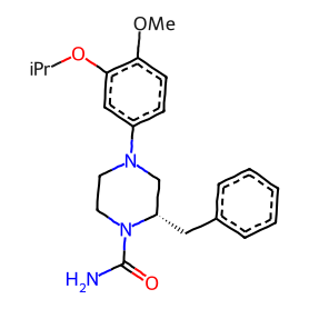 COc1ccc(N2CCN(C(N)=O)[C@@H](Cc3ccccc3)C2)cc1OC(C)C